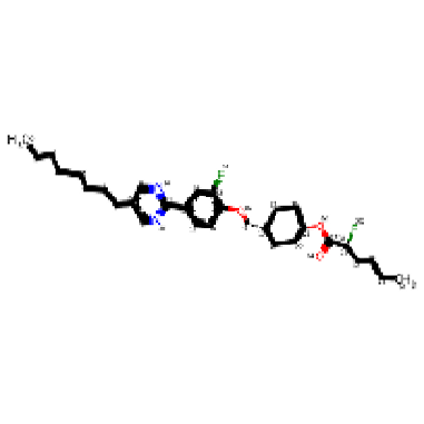 CCCCCCCCc1cnc(-c2ccc(OC[C@H]3CC[C@H](OC(=O)[C@@H](F)CCCC)CC3)c(F)c2)nc1